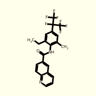 CCc1cc(C(F)(C(F)(F)F)C(F)(F)F)cc(C)c1NC(=O)c1ccc2ncccc2c1